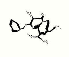 Cc1cc(C(C)N)c2nc(OCc3ccccc3)c(C)c(=O)n2c1